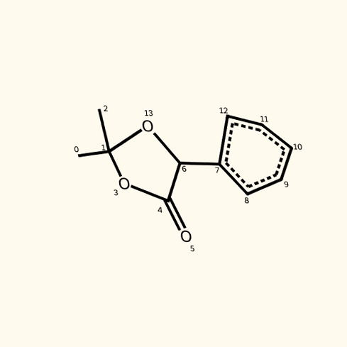 CC1(C)OC(=O)C(c2ccccc2)O1